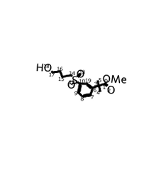 COC(=O)C(C)(C)c1cccc(S(=O)(=O)CCCCO)c1